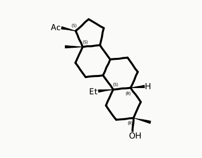 CC[C@]12CC[C@@](C)(O)C[C@H]1CCC1C2CC[C@@]2(C)C1CC[C@@H]2C(C)=O